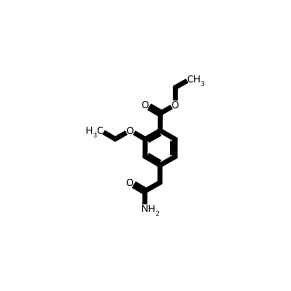 CCOC(=O)c1ccc(CC(N)=O)cc1OCC